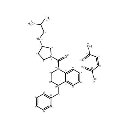 CC(C)CN[C@H]1CCN(C(=O)N2CCN(Cc3ccccn3)c3ccccc32)C1.O=C(O)/C=C\C(=O)O